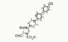 CNC(CN(CC=O)C(=O)O)N1CCN(c2ccc(-c3ccc(C#N)cc3)cn2)CC1